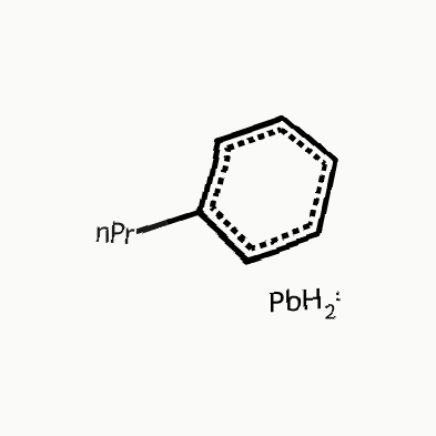 CCCc1ccccc1.[PbH2]